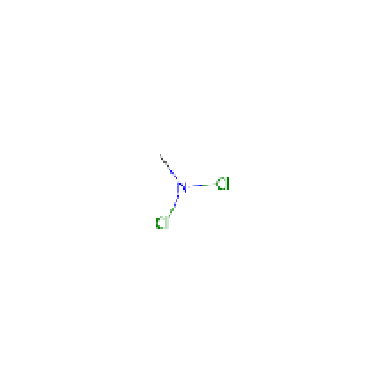 CN(Cl)Cl